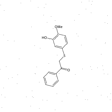 COc1ccc(SCC(=O)c2ccccc2)cc1O